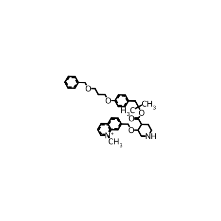 C[n+]1cccc2ccc(COC3CNCCC3C(=O)OC(C)(C)Cc3ccc(OCCCOCc4ccccc4)cc3)cc21